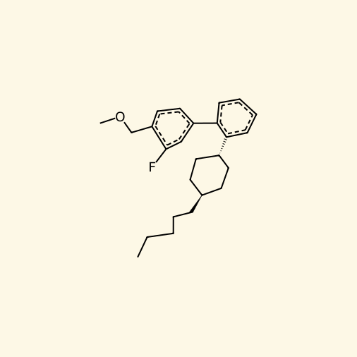 CCCCC[C@H]1CC[C@H](c2ccccc2-c2ccc(COC)c(F)c2)CC1